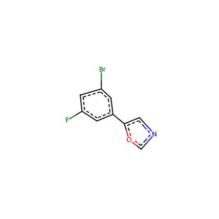 Fc1cc(Br)cc(-c2cnco2)c1